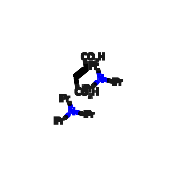 CC(C)N(C(C)C)C(C)C.CC(C)N(C(C)C)C(C)C.O=C(O)/C=C/C(=O)O